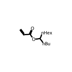 C=CC(=O)OC(CCCC)CCCCCC